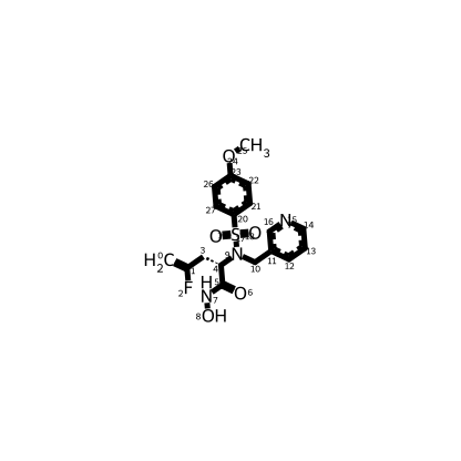 C=C(F)C[C@@H](C(=O)NO)N(Cc1cccnc1)S(=O)(=O)c1ccc(OC)cc1